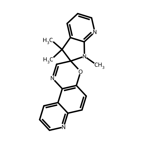 CN1c2ncccc2C(C)(C)C12C=Nc1c(ccc3ncccc13)O2